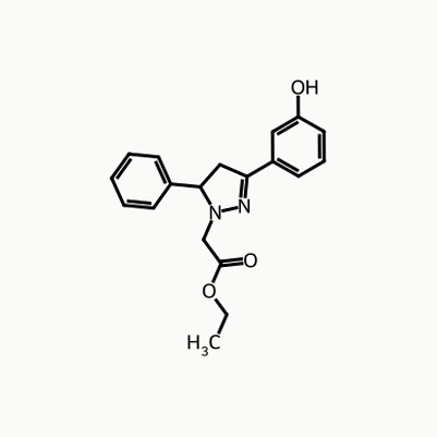 CCOC(=O)CN1N=C(c2cccc(O)c2)CC1c1ccccc1